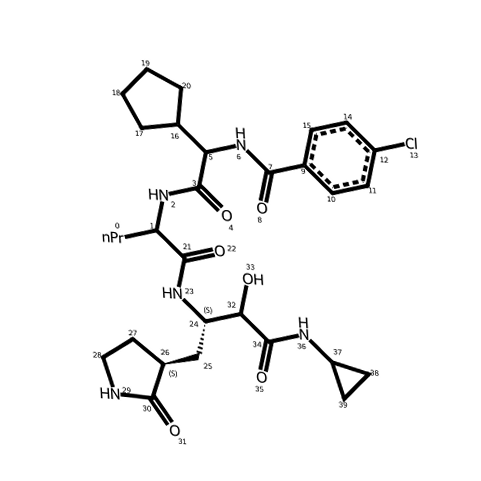 CCCC(NC(=O)C(NC(=O)c1ccc(Cl)cc1)C1CCCC1)C(=O)N[C@@H](C[C@@H]1CCNC1=O)C(O)C(=O)NC1CC1